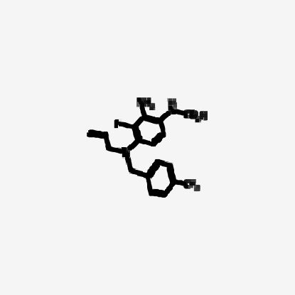 C=CCN(Cc1ccc(C(F)(F)F)cc1)c1ccc(NC(=O)O)c(N)c1F